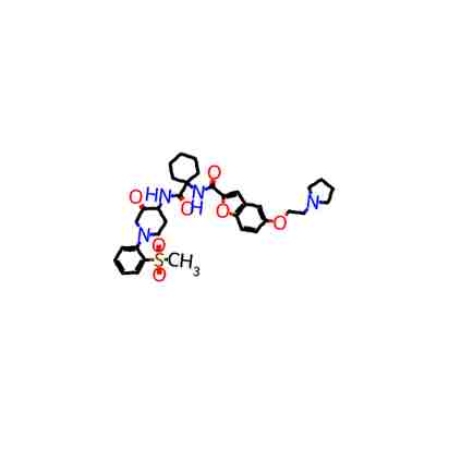 CS(=O)(=O)c1ccccc1N1CCC(NC(=O)C2(NC(=O)c3cc4cc(OCCN5CCCC5)ccc4o3)CCCCC2)C(=O)C1